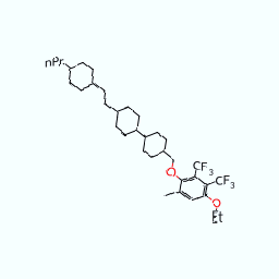 CCCC1CCC(CCC2CCC(C3CCC(COc4c(C)cc(OCC)c(C(F)(F)F)c4C(F)(F)F)CC3)CC2)CC1